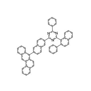 c1ccc(-c2nc(-c3ccc4cc(-c5c6ccccc6cc6c5ccc5ccccc56)ccc4c3)nc(-c3c(-c4ccccc4)ccc4ccccc34)n2)cc1